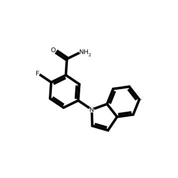 NC(=O)c1cc(-n2ccc3c[c]ccc32)ccc1F